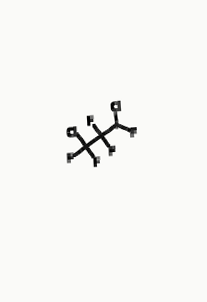 F[C](Cl)C(F)(F)C(F)(F)Cl